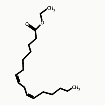 CCCCC/C=C\C/C=C\CCCCCC(=O)OCC